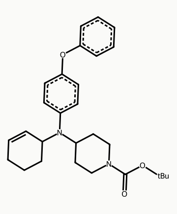 CC(C)(C)OC(=O)N1CCC(N(c2ccc(Oc3ccccc3)cc2)C2C=CCCC2)CC1